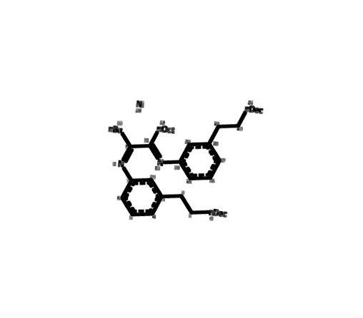 CCCCCCCCCCCCc1cccc(N=C(CCCC)C(CCCCCCCC)=Nc2cccc(CCCCCCCCCCCC)c2)c1.[Ni]